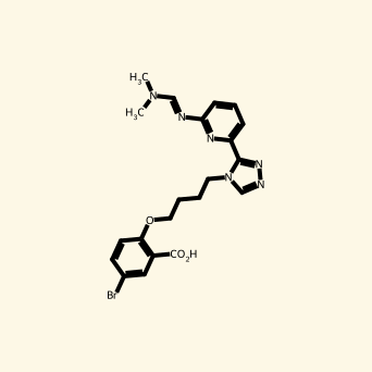 CN(C)/C=N/c1cccc(-c2nncn2CCCCOc2ccc(Br)cc2C(=O)O)n1